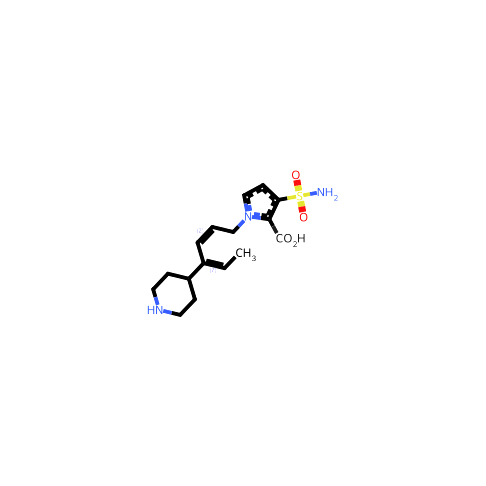 C/C=C(\C=C/Cn1ccc(S(N)(=O)=O)c1C(=O)O)C1CCNCC1